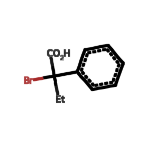 CCC(Br)(C(=O)O)c1ccccc1